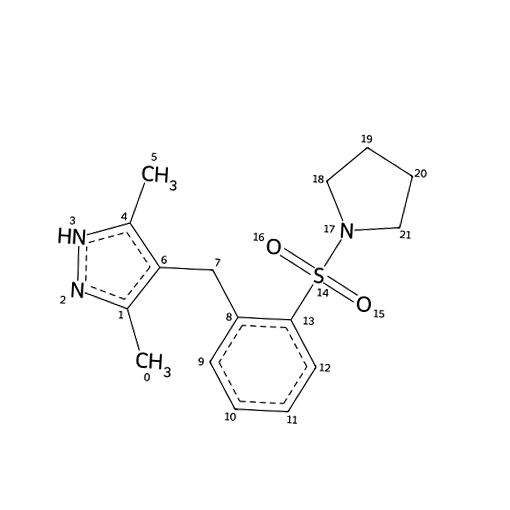 Cc1n[nH]c(C)c1Cc1ccccc1S(=O)(=O)N1CCCC1